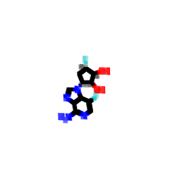 NC1=NC=C(F)C2C1N=CN2[C@@H]1C[C@H](F)[C@@H](O)[C@H]1O